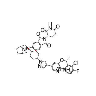 C[C@@H](Oc1cc(-c2cnn(C3CCC(CN4C5CCC4CN(c4ccc6c(c4)C(=O)N(C4CCC(=O)NC4=O)C6=O)C5)CC3)c2)cnc1N)c1c(Cl)ccc(F)c1Cl